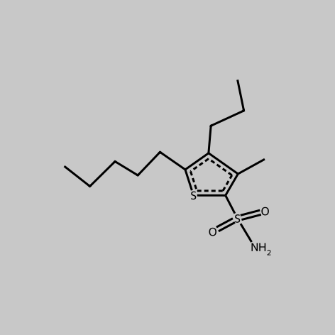 CCCCCc1sc(S(N)(=O)=O)c(C)c1CCC